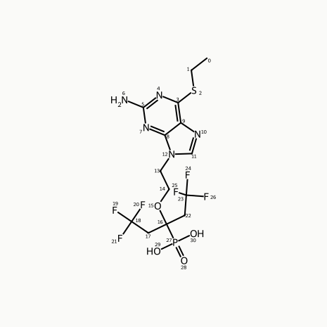 CCSc1nc(N)nc2c1ncn2CCOC(CC(F)(F)F)(CC(F)(F)F)P(=O)(O)O